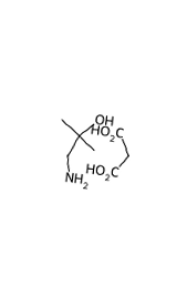 CC(C)(O)CN.O=C(O)CC(=O)O